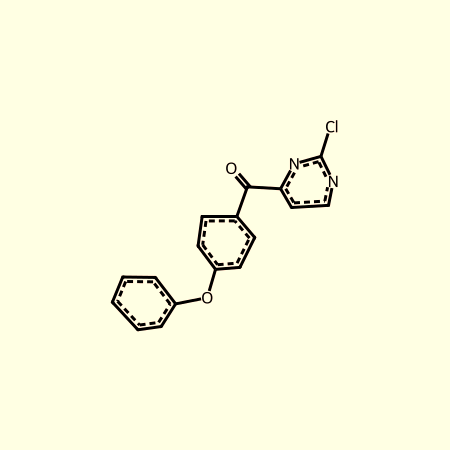 O=C(c1ccc(Oc2ccccc2)cc1)c1ccnc(Cl)n1